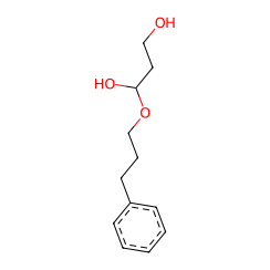 OCCC(O)OCCCc1ccccc1